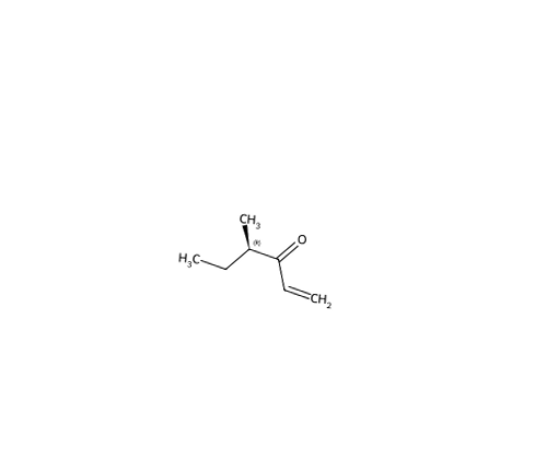 C=CC(=O)[C@H](C)CC